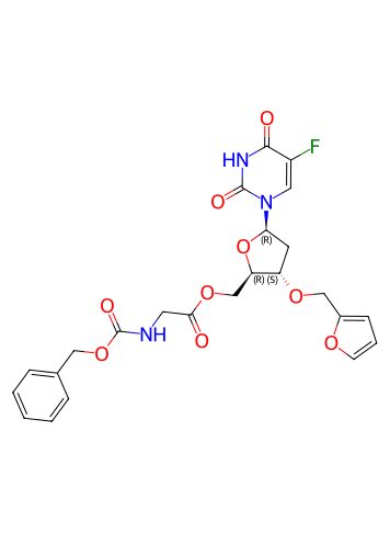 O=C(CNC(=O)OCc1ccccc1)OC[C@H]1O[C@@H](n2cc(F)c(=O)[nH]c2=O)C[C@@H]1OCc1ccco1